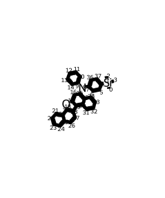 C[Si](C)(C)c1ccc(N(c2ccccc2)c2cc3oc4c5ccccc5ccc4c3c3ccccc23)cc1